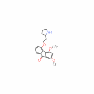 CCCOc1cc(OCC)cc2c1-c1c(OCCC3CCCN3)cccc1C2=O